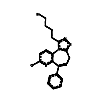 Clc1ccc2c(n1)C(c1ccccc1)=NCc1nnc(CCCCBr)n1-2